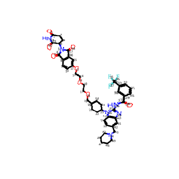 O=C1CCC(N2C(=O)c3ccc(OCCOCCOCC4CCC(n5c(NC(=O)c6cccc(C(F)(F)F)c6)nc6cc(CN7CCCCC7)ccc65)CC4)cc3C2=O)C(=O)N1